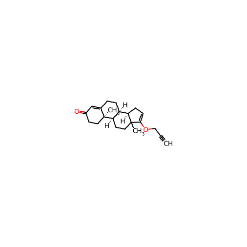 C#CCOC1=CC[C@@H]2[C@@H]3CCC4=CC(=O)CC[C@]4(C)[C@@H]3CCC12C